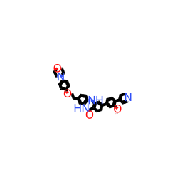 COc1cc(C2=CC3=C(CC2)C(=O)Nc2cc(CCOc4ccc(N5CCOCC5)cc4)ccc2N3)ccc1-c1ccncc1